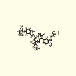 COc1ccc(-c2c(C)nn3c(NCc4cccc(-c5nccn5C)c4)cc(C(C)(C)CO)nc23)cc1SCCO